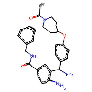 CCCC(=O)N1CCC(Oc2ccc(C(N)c3cc(C(=O)NCc4ccccc4)ccc3N)cc2)CC1